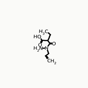 C=CCN(N)C(=O)C(CC)C(=O)O